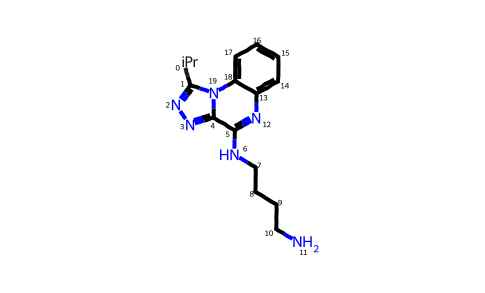 CC(C)c1nnc2c(NCCCCN)nc3ccccc3n12